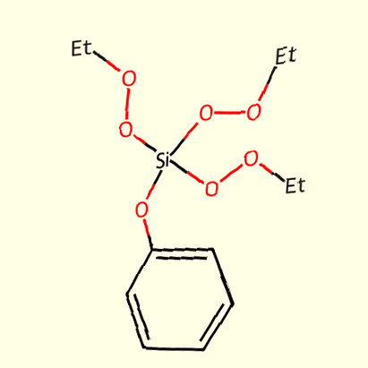 CCOO[Si](OOCC)(OOCC)Oc1ccccc1